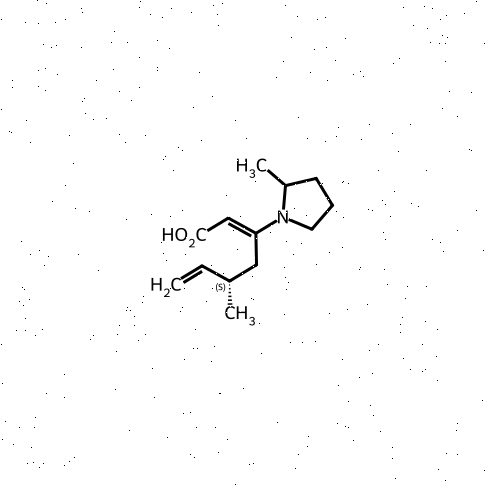 C=C[C@@H](C)CC(=CC(=O)O)N1CCCC1C